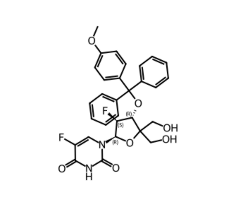 COc1ccc(C(O[C@H]2[C@H](F)[C@H](n3cc(F)c(=O)[nH]c3=O)OC2(CO)CO)(c2ccccc2)c2ccccc2)cc1